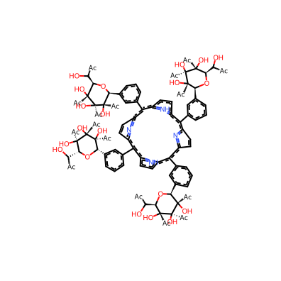 CC(=O)C(O)[C@H]1O[C@@H](c2cccc(-c3c4nc(c(-c5cccc([C@@H]6O[C@H](C(O)C(C)=O)[C@](O)(C(C)=O)[C@@](O)(C(C)=O)[C@]6(O)C(C)=O)c5)c5ccc([nH]5)c(-c5cccc([C@@H]6O[C@H](C(O)C(C)=O)[C@](O)(C(C)=O)[C@@](O)(C(C)=O)[C@]6(O)C(C)=O)c5)c5nc(c(-c6cccc([C@@H]7O[C@H](C(O)C(C)=O)[C@](O)(C(C)=O)[C@@](O)(C(C)=O)[C@]7(O)C(C)=O)c6)c6ccc3[nH]6)C=C5)C=C4)c2)[C@@](O)(C(C)=O)[C@](O)(C(C)=O)[C@@]1(O)C(C)=O